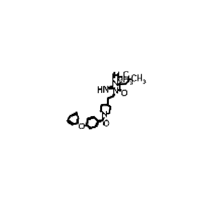 CC(C)CC1(C)NC(=N)N(CCC2CCN(C(=O)c3ccc(Oc4ccccc4)cc3)CC2)C1=O